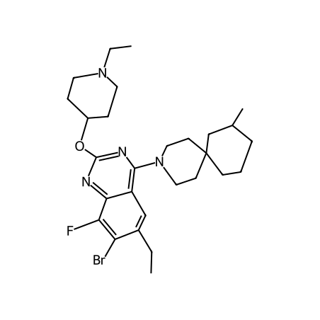 CCc1cc2c(N3CCC4(CCCC(C)C4)CC3)nc(OC3CCN(CC)CC3)nc2c(F)c1Br